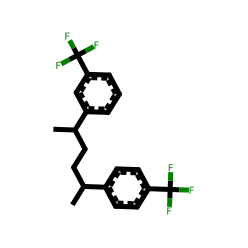 CC(CCC(C)c1cccc(C(F)(F)F)c1)c1ccc(C(F)(F)F)cc1